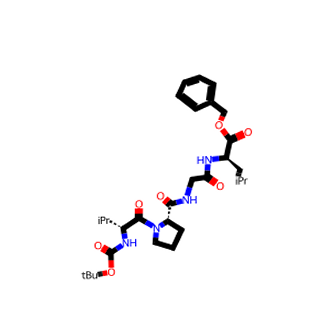 CC(C)C[C@@H](NC(=O)CNC(=O)[C@@H]1CCCN1C(=O)[C@H](NC(=O)OC(C)(C)C)C(C)C)C(=O)OCc1ccccc1